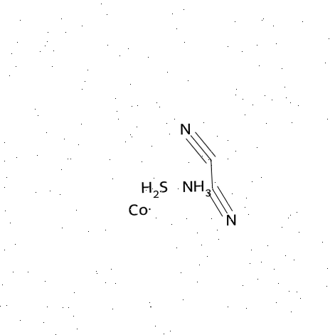 N.N#CC#N.S.[Co]